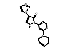 O=c1c(-n2ccnn2)c[nH]n1-c1cc(N2CC=CCC2)ncn1